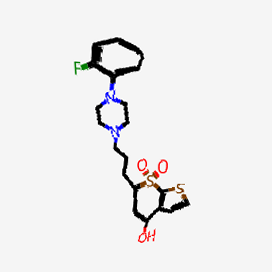 O=S1(=O)c2sccc2C(O)CC1CCCN1CCN(c2ccccc2F)CC1